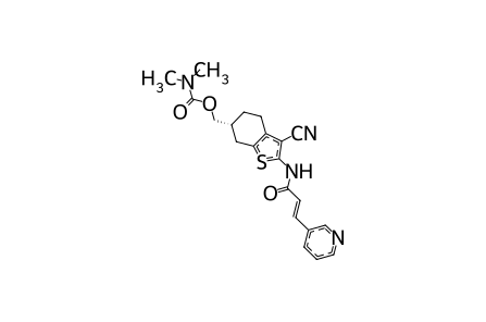 CN(C)C(=O)OC[C@@H]1CCc2c(sc(NC(=O)C=Cc3cccnc3)c2C#N)C1